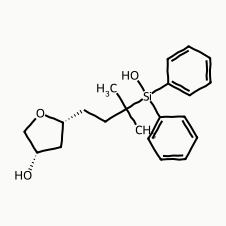 CC(C)(CC[C@@H]1C[C@H](O)CO1)[Si](O)(c1ccccc1)c1ccccc1